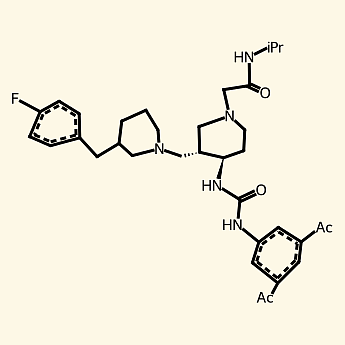 CC(=O)c1cc(NC(=O)N[C@@H]2CCN(CC(=O)NC(C)C)C[C@H]2CN2CCCC(Cc3ccc(F)cc3)C2)cc(C(C)=O)c1